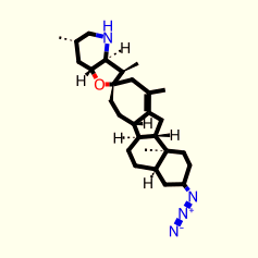 CC1=C2C[C@H]3[C@@H](CC[C@@H]4CC(N=[N+]=[N-])CC[C@@]43C)[C@@H]2CC[C@@]2(C1)O[C@@H]1C[C@H](C)CN[C@H]1[C@H]2C